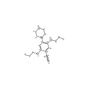 CCCOc1cc(N2CCOCC2)c(OCCC)cc1[N+]#N